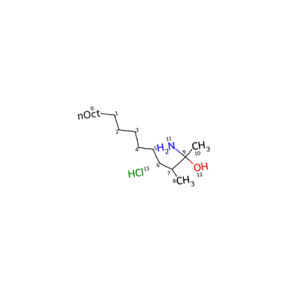 CCCCCCCCCCCCCCC(C)C(C)(N)O.Cl